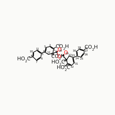 O=C(O)C1=CC=C(c2ccc(C(=O)O)cc2)CC1(C(=O)O)C(=O)OC(=O)C1(C(=O)O)CC(c2ccc(C(=O)O)cc2)=CC=C1C(=O)O